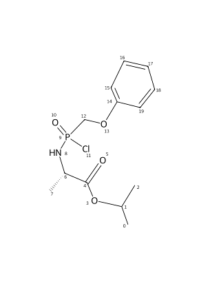 CC(C)OC(=O)[C@H](C)NP(=O)(Cl)COc1ccccc1